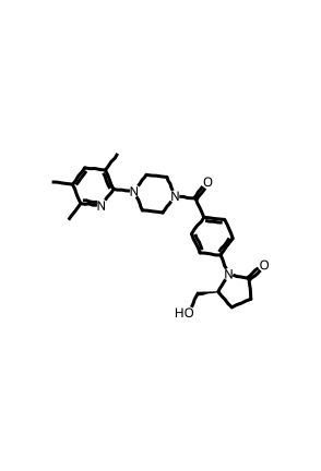 Cc1cc(C)c(N2CCN(C(=O)c3ccc(N4C(=O)CC[C@H]4CO)cc3)CC2)nc1C